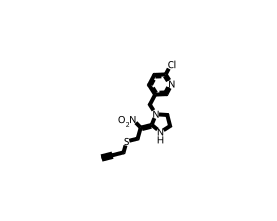 C#CCSC/C(=C1\NCCN1Cc1ccc(Cl)nc1)[N+](=O)[O-]